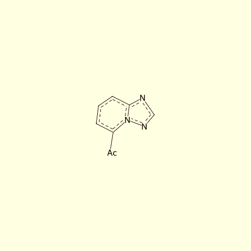 CC(=O)c1cccc2ncnn12